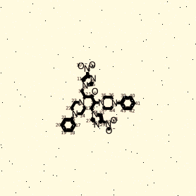 O=C(C(Cn1cnc([N+](=O)[O-])c1)N1CCN(c2ccccc2)CC1)C(Cn1cnc([N+](=O)[O-])c1)N1CCN(c2ccccc2)CC1